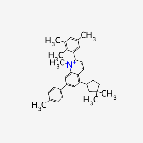 Cc1ccc(-c2cc(C3CCC(C)(C)C3)c3ccc(-c4cc(C)cc(C)c4C)[n+](C)c3c2)cc1